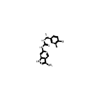 Cc1cc([C@@H](C)NC(=O)Nc2cc3[nH]nc(N)c3cn2)ccc1Cl